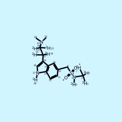 [2H]N(C([2H])([2H])[2H])S(=O)(=O)Cc1ccc2c(c1)c(C([2H])([2H])C([2H])([2H])N(C)C)cn2[2H]